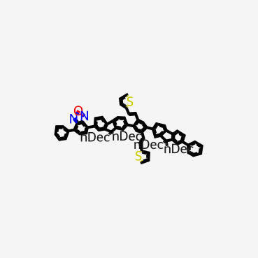 CCCCCCCCCCC1(CCCCCCCCCC)c2cc(-c3ccccc3)ccc2-c2ccc(-c3cc(/C=C/c4cccs4)c(-c4ccc5c(c4)C(CCCCCCCCCC)(CCCCCCCCCC)c4cc(-c6ccc(-c7ccccc7)c7nonc67)ccc4-5)cc3/C=C/c3cccs3)cc21